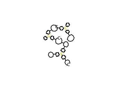 c1ccc([S+](c2ccc(C3CCCCCCCCC3)cc2)c2ccc(C3CCCCCC(c4cccc([S+](c5ccccc5)c5ccc(C6CCCCC(C7CCCCCC(c8ccc([S+](c9ccc(C%10CCCCCCC%10)cc9)c9ccc(C%10CCCCCCC%10)cc9)cc8)C7)CCCC6)cc5)c4)CCC3)cc2)cc1